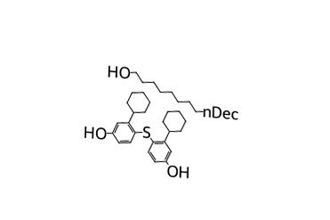 CCCCCCCCCCCCCCCCCCO.Oc1ccc(Sc2ccc(O)cc2C2CCCCC2)c(C2CCCCC2)c1